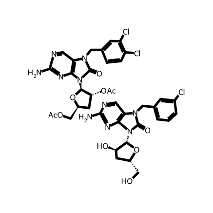 CC(=O)OC[C@@H]1C[C@@H](OC(C)=O)[C@H](n2c(=O)n(Cc3ccc(Cl)c(Cl)c3)c3cnc(N)nc32)O1.Nc1ncc2c(n1)n([C@@H]1O[C@H](CO)C[C@H]1O)c(=O)n2Cc1cccc(Cl)c1